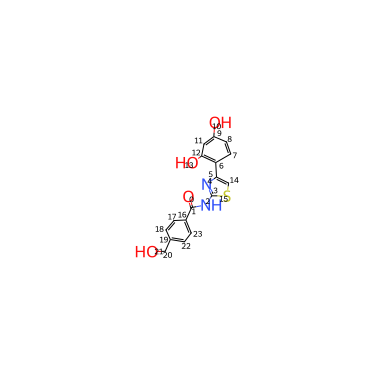 O=C(Nc1nc(-c2ccc(O)cc2O)cs1)c1ccc(CO)cc1